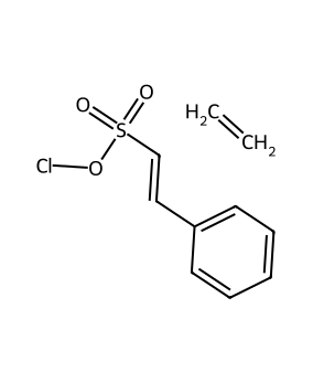 C=C.O=S(=O)(C=Cc1ccccc1)OCl